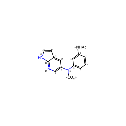 CC(=O)Nc1cccc(N(C(=O)O)c2cnc3[nH]ccc3c2)c1